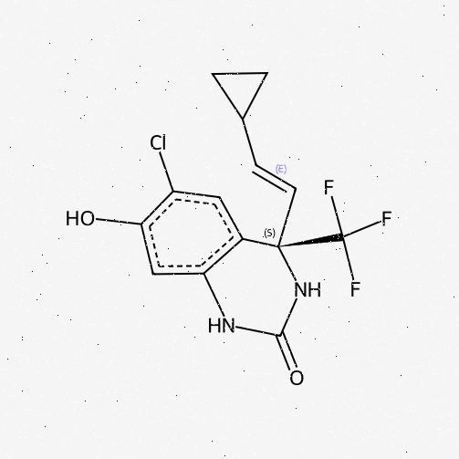 O=C1Nc2cc(O)c(Cl)cc2[C@@](/C=C/C2CC2)(C(F)(F)F)N1